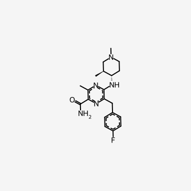 Cc1nc(N[C@H]2CCN(C)C[C@@H]2C)c(Cc2ccc(F)cc2)nc1C(N)=O